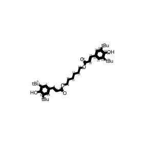 CC(C)(C)c1cc(C=CC(=O)OCCCCCCOC(=O)C=Cc2cc(C(C)(C)C)c(O)c(C(C)(C)C)c2)cc(C(C)(C)C)c1O